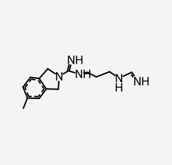 Cc1ccc2c(c1)CN(C(=N)NCCCNC=N)C2